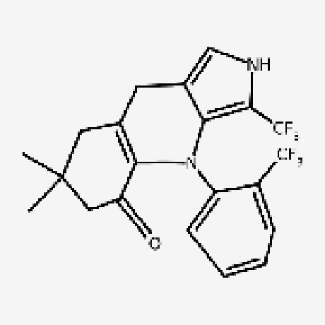 CC1(C)CC(=O)C2=C(Cc3c[nH]c(C(F)(F)F)c3N2c2ccccc2C(F)(F)F)C1